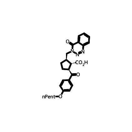 CCCCCOc1ccc(C(=O)[C@H]2CC[C@@H](Cn3nnc4ccccc4c3=O)[C@@H]2C(=O)O)cc1